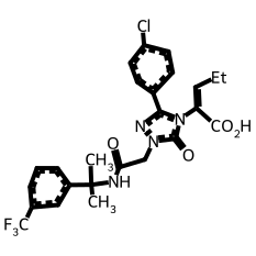 CCC=C(C(=O)O)n1c(-c2ccc(Cl)cc2)nn(CC(=O)NC(C)(C)c2cccc(C(F)(F)F)c2)c1=O